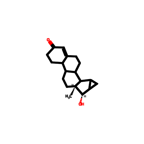 C[C@]12CCC3C4CCC(=O)C=C4CCC3C1C1CC1[C@@H]2O